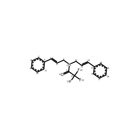 O=C(N(C/C=C/c1ccccc1)C/C=C/c1ccccc1)C(F)(F)F